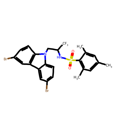 Cc1cc(C)c(S(=O)(=O)NC(Cn2c3ccc(Br)cc3c3cc(Br)ccc32)C(F)(F)F)c(C)c1